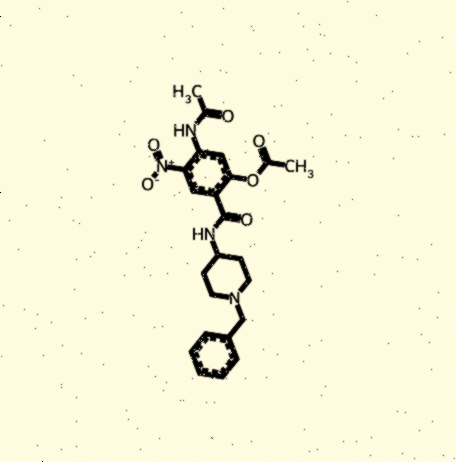 CC(=O)Nc1cc(OC(C)=O)c(C(=O)NC2CCN(Cc3ccccc3)CC2)cc1[N+](=O)[O-]